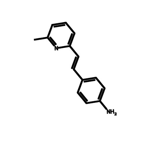 Cc1cccc(C=Cc2ccc(N)cc2)n1